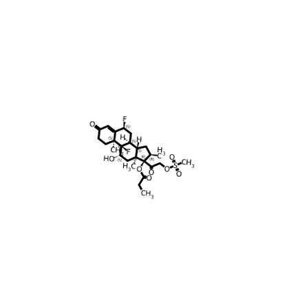 CCC(=O)O[C@]1(C(=O)COS(C)(=O)=O)[C@H](C)C[C@H]2[C@@H]3C[C@H](F)C4=CC(=O)CC[C@]4(C)[C@@]3(F)[C@@H](O)C[C@@]21C